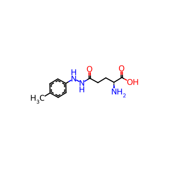 Cc1ccc(NNC(=O)CC[C@H](N)C(=O)O)cc1